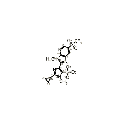 CCS(=O)(=O)c1c(-c2nc3cc(S(=O)(=O)C(F)(F)F)cnc3n2C)nc(C2CC2)n1C